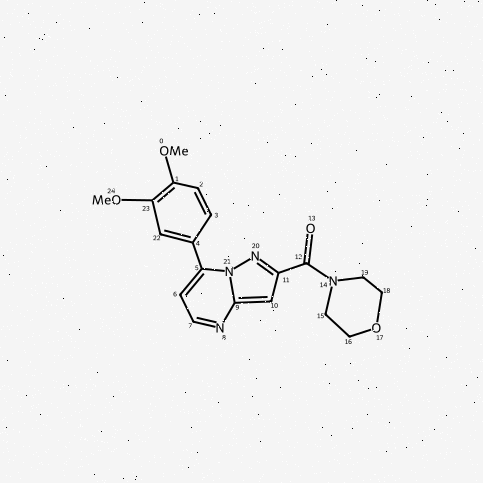 COc1ccc(-c2ccnc3cc(C(=O)N4CCOCC4)nn23)cc1OC